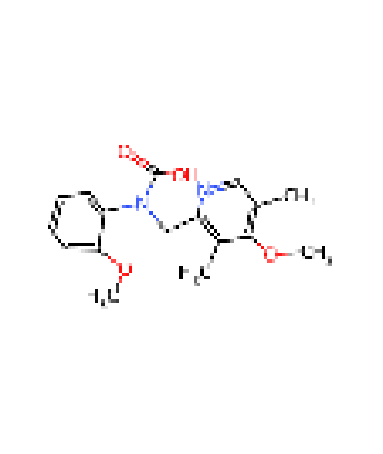 COc1ccccc1N(Cc1ncc(C)c(OC)c1C)C(=O)O